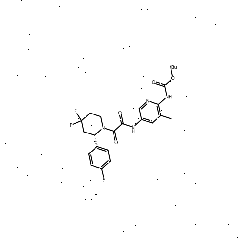 Cc1cc(NC(=O)C(=O)N2CCC(F)(F)C[C@H]2c2ccc(F)cc2)cnc1NC(=O)OC(C)(C)C